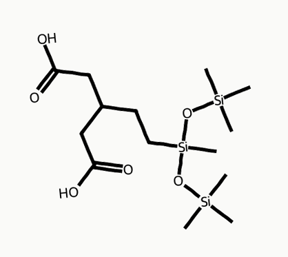 C[Si](C)(C)O[Si](C)(CCC(CC(=O)O)CC(=O)O)O[Si](C)(C)C